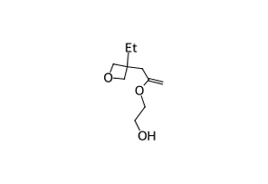 C=C(CC1(CC)COC1)OCCO